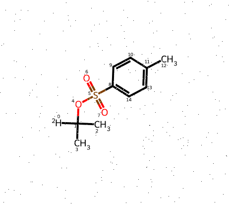 [2H]C(C)(C)OS(=O)(=O)c1ccc(C)cc1